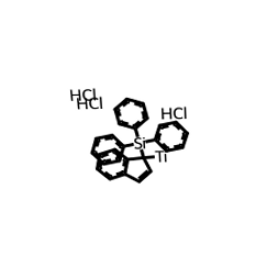 Cl.Cl.Cl.[Ti][C]1([Si](c2ccccc2)(c2ccccc2)c2ccccc2)C=Cc2ccccc21